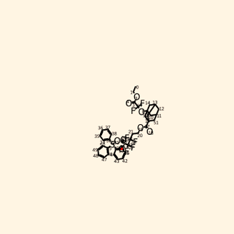 CCOC(=O)C(F)(F)OC12CC3CC(C1)CC(C(=O)OCCC(F)(F)C(F)(F)S(=O)(=O)OS(c1ccccc1)(c1ccccc1)c1ccccc1)(C3)C2